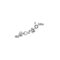 CSc1ccc(-c2noc([C@@H](C)OC3CCN(C4=NN(C(C)(C)C)CO4)CC3)n2)cc1F